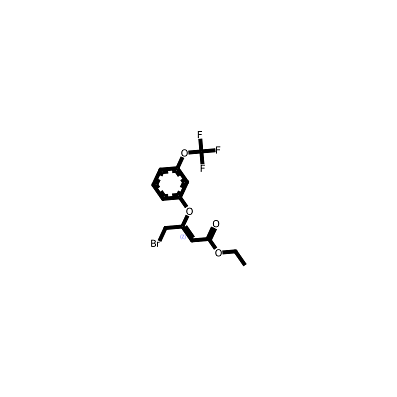 CCOC(=O)/C=C(/CBr)Oc1cccc(OC(F)(F)F)c1